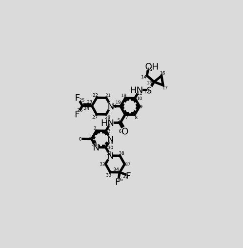 Cc1cc(NC(=O)c2ccc(NSC3(CO)CC3)cc2N2CCC(=C(F)F)CC2)nc(N2CCC(F)(F)CC2)n1